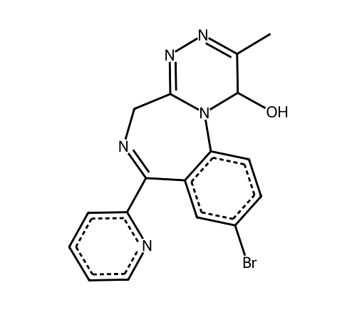 CC1=NN=C2CN=C(c3ccccn3)c3cc(Br)ccc3N2C1O